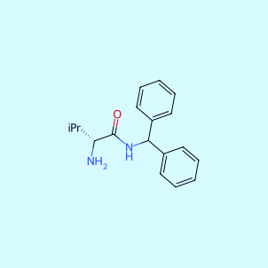 CC(C)[C@@H](N)C(=O)NC(c1ccccc1)c1ccccc1